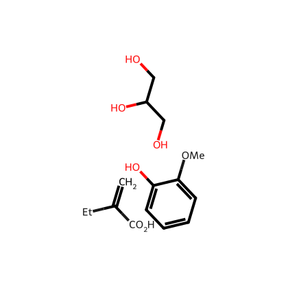 C=C(CC)C(=O)O.COc1ccccc1O.OCC(O)CO